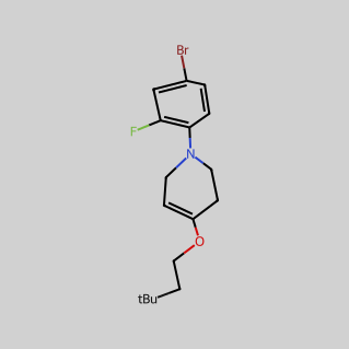 CC(C)(C)CCOC1=CCN(c2ccc(Br)cc2F)CC1